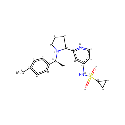 COc1ccc([C@H](C)N2CCCC2c2cc(NS(=O)(=O)C3CC3)ccn2)cc1